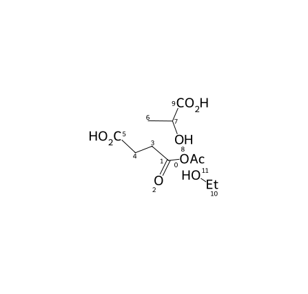 CC(=O)OC(=O)CCC(=O)O.CC(O)C(=O)O.CCO